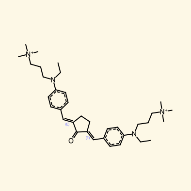 CCN(CCC[N+](C)(C)C)c1ccc(/C=C2\CC/C(=C\c3ccc(N(CC)CCC[N+](C)(C)C)cc3)C2=O)cc1